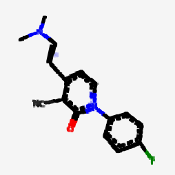 CN(C)/C=C/c1ccn(-c2ccc(F)cc2)c(=O)c1C#N